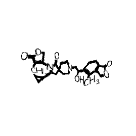 CC1=C(N2C(=O)C3(CCN(CC(O)c4ccc5c(c4C)COC5=O)CC3)CC2C2CC2)COC1=O